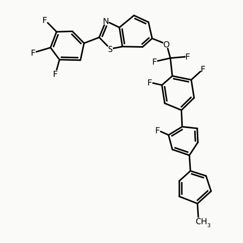 Cc1ccc(-c2ccc(-c3cc(F)c(C(F)(F)Oc4ccc5nc(-c6cc(F)c(F)c(F)c6)sc5c4)c(F)c3)c(F)c2)cc1